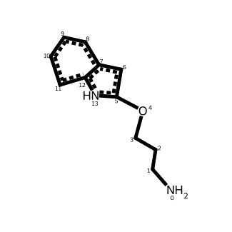 NCCCOc1cc2ccccc2[nH]1